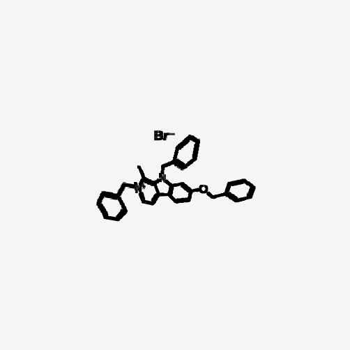 Cc1c2c(cc[n+]1Cc1ccccc1)c1ccc(OCc3ccccc3)cc1n2Cc1ccccc1.[Br-]